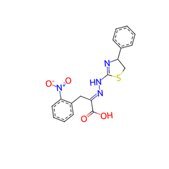 O=C(O)/C(Cc1ccccc1[N+](=O)[O-])=N/NC1=NC(c2ccccc2)CS1